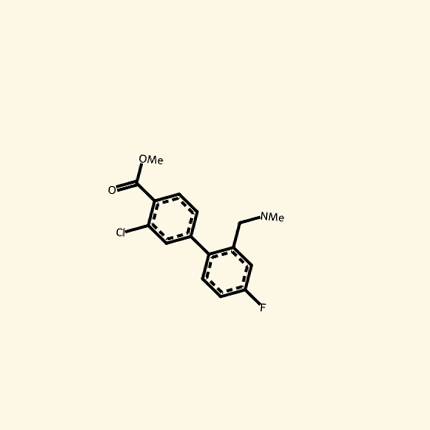 CNCc1cc(F)ccc1-c1ccc(C(=O)OC)c(Cl)c1